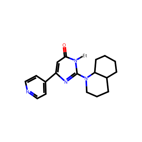 CCn1c(N2CCCC3CCCCC32)nc(-c2ccncc2)cc1=O